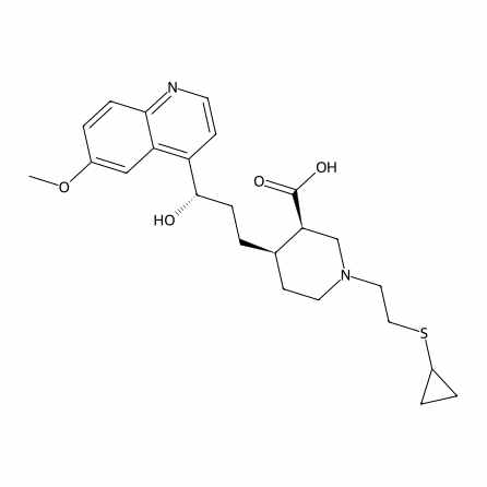 COc1ccc2nccc([C@@H](O)CC[C@@H]3CCN(CCSC4CC4)C[C@@H]3C(=O)O)c2c1